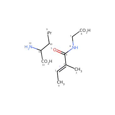 C/C=C(\C)C(=O)NCC(=O)O.CC(C)CC(N)C(=O)O